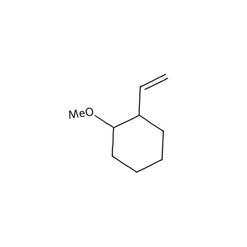 C=CC1CCCCC1OC